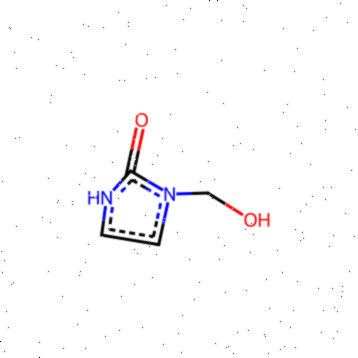 O=c1[nH]ccn1CO